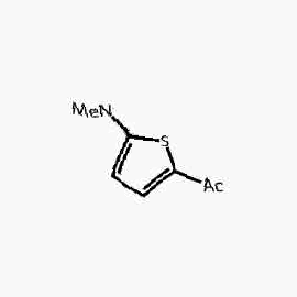 CNc1ccc(C(C)=O)s1